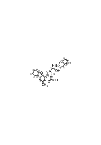 Cc1nc(N2C[C@@H](CC(O)Nc3ccc4[nH]ncc4c3)C[C@H]2C(=O)O)c2oc3ccccc3c2n1